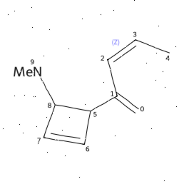 C=C(/C=C\C)C1C=CC1NC